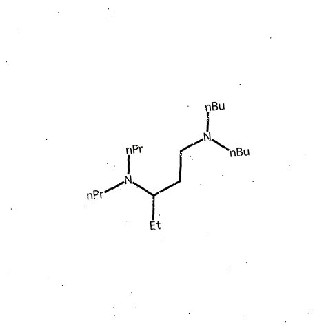 [CH2]CC(CCN(CCCC)CCCC)N(CCC)CCC